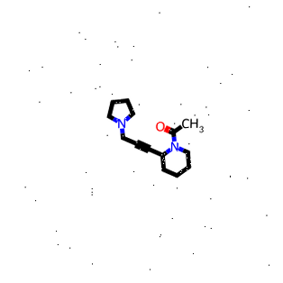 CC(=O)N1CCCCC1C#CCN1CCCC1